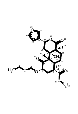 CCOCO[C@H]1C[C@@H](C(=O)OC)[C@]2(C)CC[C@H]3C(=O)O[C@@H](c4ccoc4)C[C@]3(C)[C@H]2C1=O